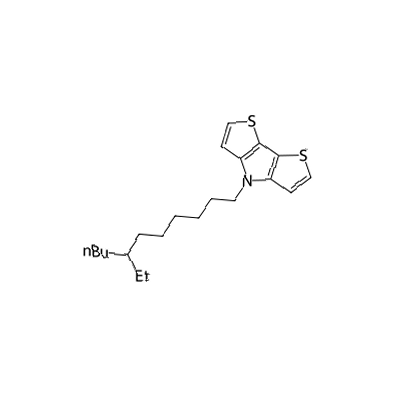 CCCCC(CC)CCCCCCn1c2ccsc2c2sccc21